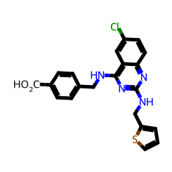 O=C(O)c1ccc(CNc2nc(NCc3cccs3)nc3ccc(Cl)cc23)cc1